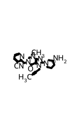 CC#CCn1c(N2CCC[C@@H](N)C2)nc2c1C(=O)N(Cc1ncccc1C#N)CN2C